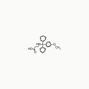 COc1ccc(C(NCCC(=O)O)(c2ccccc2)c2ccccc2)cc1